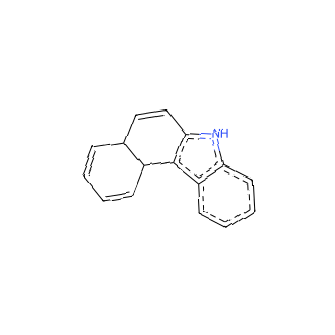 C1=CC2C=Cc3[nH]c4ccccc4c3C2C=C1